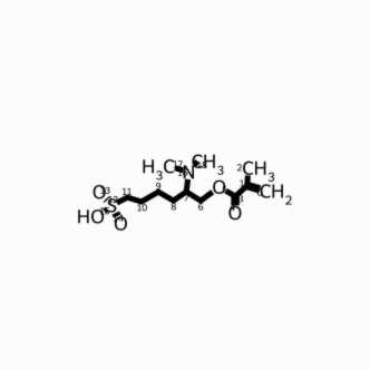 C=C(C)C(=O)OCC(CCCCS(=O)(=O)O)N(C)C